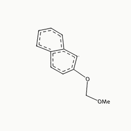 COCOc1[c]c2ccccc2cc1